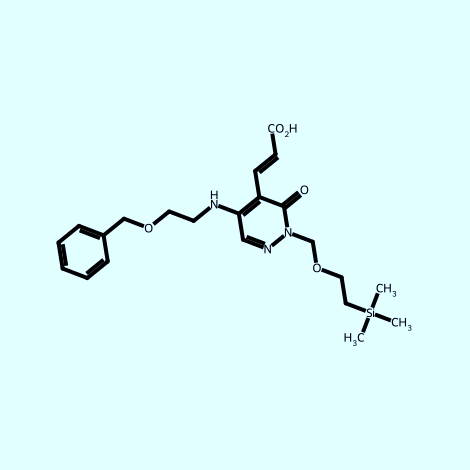 C[Si](C)(C)CCOCn1ncc(NCCOCc2ccccc2)c(/C=C/C(=O)O)c1=O